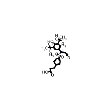 CC(C)(C)c1cc(/C(=C/C#N)S(=O)(=O)c2ccc(CCC(=O)O)cc2)cc(C(C)(C)C)c1O